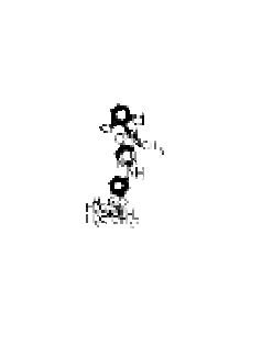 CN1N=C(c2c(Cl)cccc2Cl)Oc2cnc(Nc3cccc(O[Si](C)(C)C(C)(C)C)c3)nc21